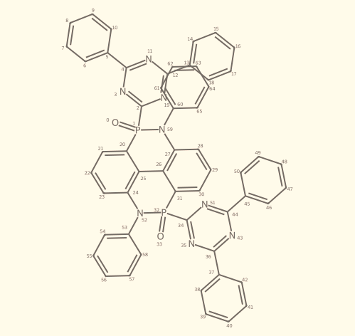 O=P1(c2nc(-c3ccccc3)nc(-c3ccccc3)n2)c2cccc3c2-c2c(cccc2P(=O)(c2nc(-c4ccccc4)nc(-c4ccccc4)n2)N3c2ccccc2)N1c1ccccc1